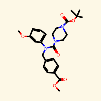 COC(=O)c1ccc(CN(C(=O)N2CCN(C(=O)OC(C)(C)C)CC2)c2cccc(OC)c2)cc1